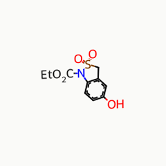 CCOC(=O)N1c2ccc(O)cc2CS1(=O)=O